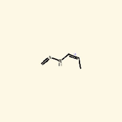 C=NB/C=C\C